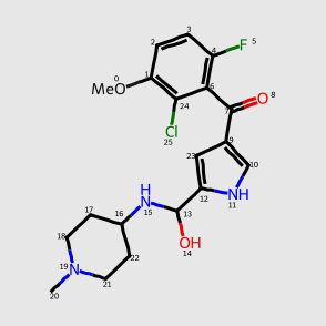 COc1ccc(F)c(C(=O)c2c[nH]c(C(O)NC3CCN(C)CC3)c2)c1Cl